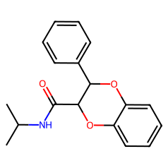 CC(C)NC(=O)C1Oc2ccccc2OC1c1ccccc1